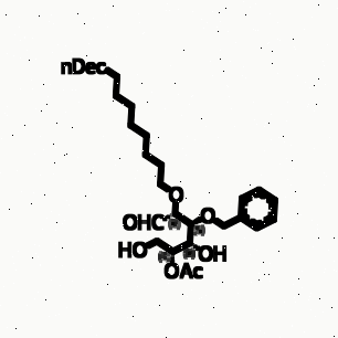 CCCCCCCCCCCCCCCCCCO[C@@H](C=O)[C@@H](OCc1ccccc1)[C@H](O)[C@@H](CO)OC(C)=O